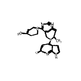 CC1Cc2ncnc(N3CCC(O)CC3)c2CN1c1cc(Cl)nc2[nH]ccc12